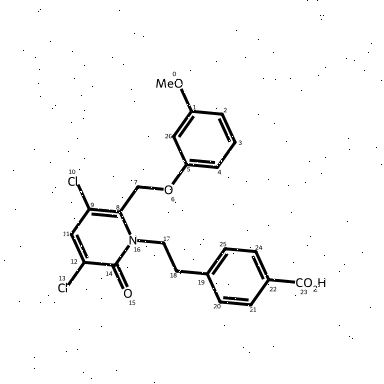 COc1cccc(OCc2c(Cl)cc(Cl)c(=O)n2CCc2ccc(C(=O)O)cc2)c1